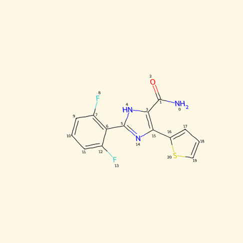 NC(=O)c1[nH]c(-c2c(F)cccc2F)nc1-c1cccs1